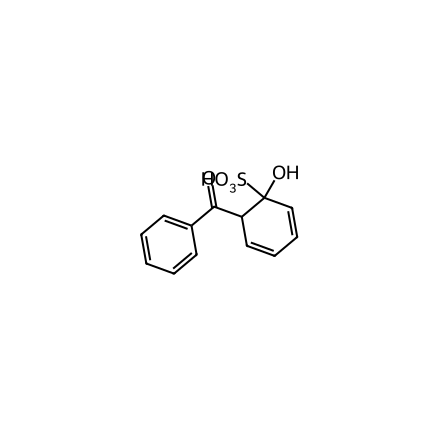 O=C(c1ccccc1)C1C=CC=CC1(O)S(=O)(=O)O